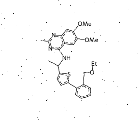 CCOCc1ccccc1-c1ccc(C(C)Nc2nc(C)nc3cc(OC)c(OC)cc23)s1